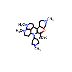 CCCCCCCCCCC(=O)C(C(C1CCN(C)CC1)C1CCN(C)CC1)N(C1CCN(C)CC1)C1CCN(C)CC1